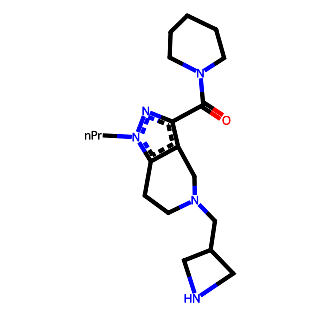 CCCn1nc(C(=O)N2CCCCC2)c2c1CCN(CC1CNC1)C2